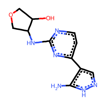 Nc1[nH]ncc1-c1ccnc(NC2COCC2O)n1